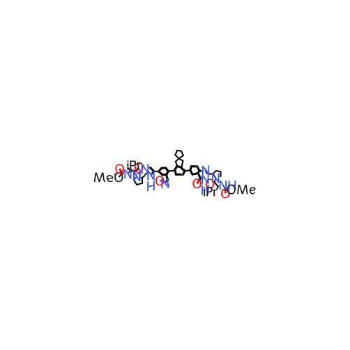 COC(=O)NC(C(=O)N1CCCC1c1ncc(-c2ccc(-c3ccc(-c4ccc5nc(C6CCCN6C(=O)C(NC(=O)OC)C(C)C)[nH]c(=O)c5c4)c4c3CC3(CCCC3)C4)c3cnoc23)[nH]1)C(C)C